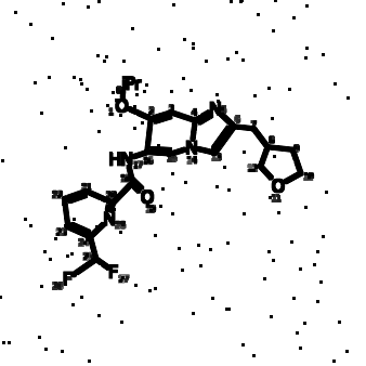 CC(C)Oc1cc2nc(CC3CCOC3)cn2cc1NC(=O)c1cccc(C(F)F)n1